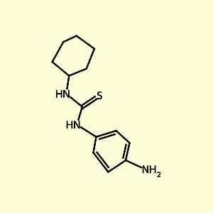 Nc1ccc(NC(=S)NC2CCCCC2)cc1